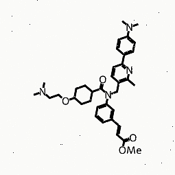 COC(=O)/C=C/c1cccc(N(Cc2ccc(-c3ccc(N(C)C)cc3)nc2C)C(=O)C2CCC(OCCN(C)C)CC2)c1